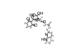 C[C@@H](CCc1ccc2c(n1)NCCC2)COCC[C@H](NC(=O)c1c(Cl)cccc1Cl)C(O)O